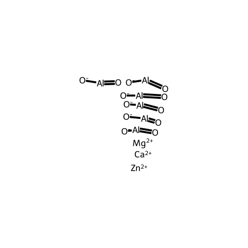 [Ca+2].[Mg+2].[O]=[Al][O-].[O]=[Al][O-].[O]=[Al][O-].[O]=[Al][O-].[O]=[Al][O-].[O]=[Al][O-].[Zn+2]